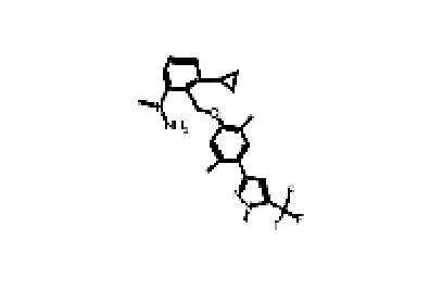 Cc1cc(-c2cc(C(F)(F)F)n(C)n2)c(C)cc1OCc1c(C2CC2)cccc1N(C)N